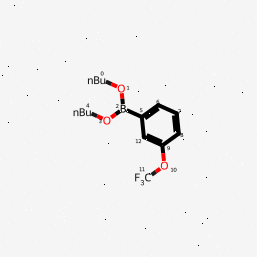 CCCCOB(OCCCC)c1cccc(OC(F)(F)F)c1